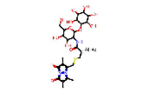 CC(=O)N[C@H](CSCc1c(C)c(=O)n2c(=O)c(C)c(C)n12)C(=O)NC1C(OC2C(O)C(O)C(O)C(O)C2O)OC(CO)C(O)C1O